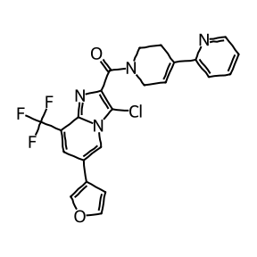 O=C(c1nc2c(C(F)(F)F)cc(-c3ccoc3)cn2c1Cl)N1CC=C(c2ccccn2)CC1